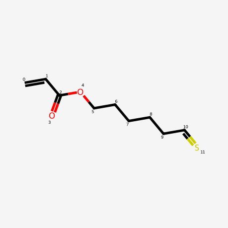 C=CC(=O)OCCCCCC=S